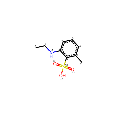 CCNc1cccc(C)c1S(=O)(=O)O